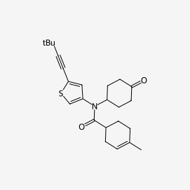 CC1=CCC(C(=O)N(c2csc(C#CC(C)(C)C)c2)C2CCC(=O)CC2)CC1